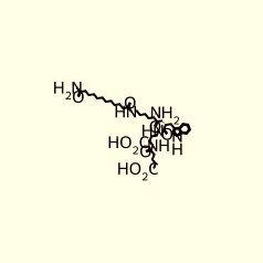 NC(=O)CCCCCCCCCCC(=O)NCCCC[C@H](N)C(=O)C[C@H](Cc1c[nH]c2ccccc12)C(=O)NCC[C@@H](NC(=O)CCCC(=O)O)C(=O)O